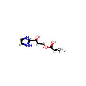 C=CC(=O)OCCC(=O)c1ncc[nH]1